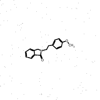 COc1ccc(CCN2Cc3ccccc3C2=O)cc1